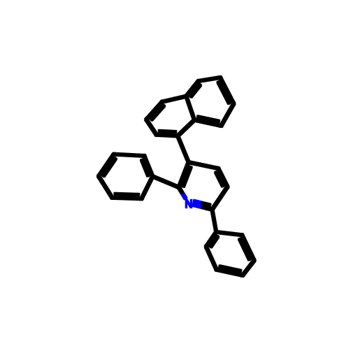 c1ccc(-c2ccc(-c3cccc4ccccc34)c(-c3ccccc3)n2)cc1